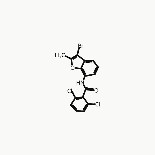 Cc1oc2c(NC(=O)c3c(Cl)cccc3Cl)cccc2c1Br